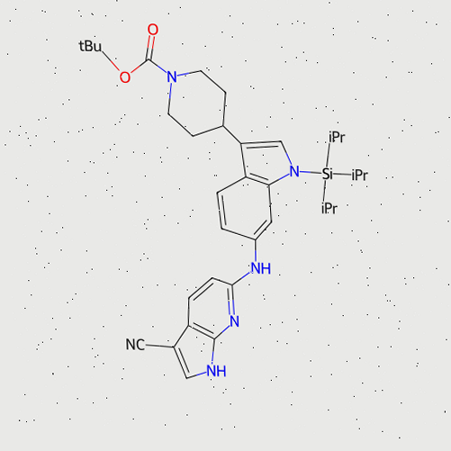 CC(C)[Si](C(C)C)(C(C)C)n1cc(C2CCN(C(=O)OC(C)(C)C)CC2)c2ccc(Nc3ccc4c(C#N)c[nH]c4n3)cc21